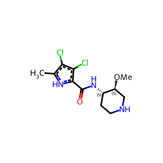 CO[C@H]1CNCC[C@@H]1NC(=O)c1[nH]c(C)c(Cl)c1Cl